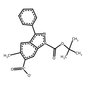 Cc1cc2c(-c3ccccc3)nn(C(=O)OC(C)(C)C)c2cc1[N+](=O)[O-]